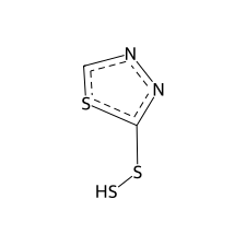 SSc1nncs1